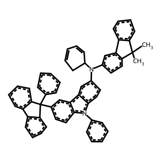 CC1(C)c2ccccc2-c2cc(N(c3ccc4c(c3)c3cc(C5(c6ccccc6)c6ccccc6-c6ccccc65)ccc3n4-c3ccccc3)C3C=CC=CC3)ccc21